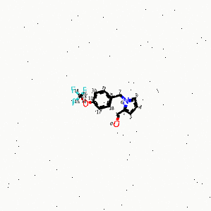 O=Cc1cccn1Cc1ccc(OC(F)(F)F)cc1